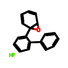 C1=CC2OC2(c2ccccc2-c2ccccc2)C=C1.F